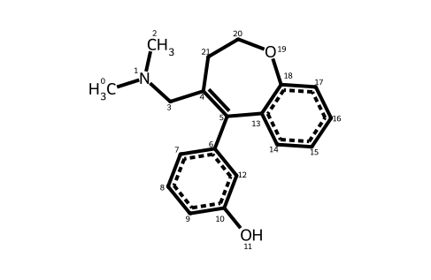 CN(C)CC1=C(c2cccc(O)c2)c2ccccc2OCC1